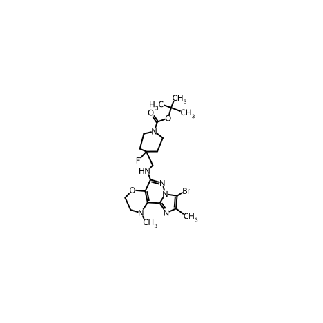 Cc1nc2c3c(c(NCC4(F)CCN(C(=O)OC(C)(C)C)CC4)nn2c1Br)OCCN3C